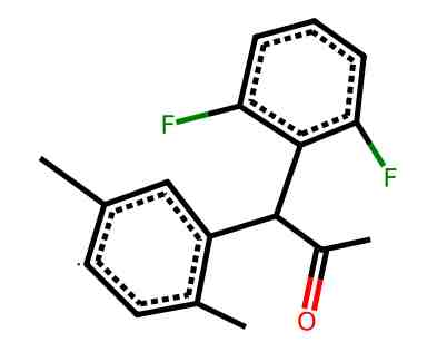 CC(=O)C(c1cc(C)[c]cc1C)c1c(F)cccc1F